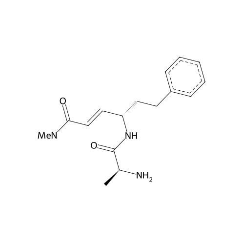 CNC(=O)C=C[C@H](CCc1ccccc1)NC(=O)[C@H](C)N